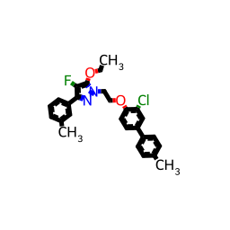 CCOc1c(F)c(-c2cccc(C)c2)nn1CCOc1ccc(-c2ccc(C)cc2)cc1Cl